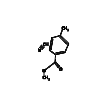 C#N.COC(=O)c1ccc(C)cc1